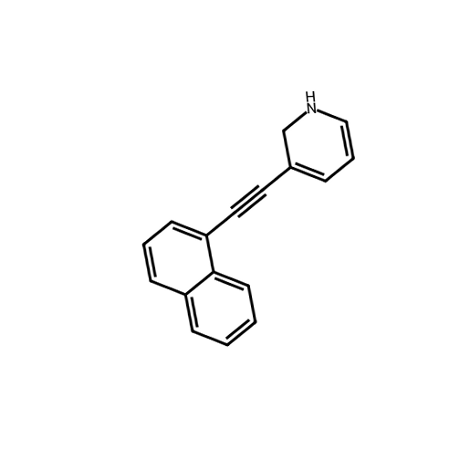 C(#Cc1cccc2ccccc12)C1=CC=CNC1